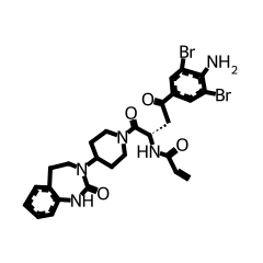 C=CC(=O)N[C@@H](CC(=O)c1cc(Br)c(N)c(Br)c1)C(=O)N1CCC(N2CCc3ccccc3NC2=O)CC1